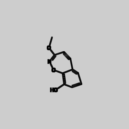 COC1=NOc2c(O)cccc2C=C1